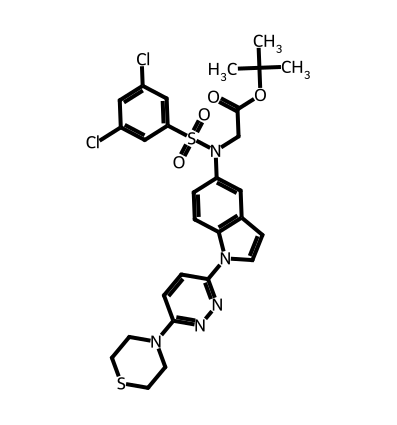 CC(C)(C)OC(=O)CN(c1ccc2c(ccn2-c2ccc(N3CCSCC3)nn2)c1)S(=O)(=O)c1cc(Cl)cc(Cl)c1